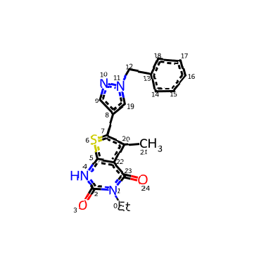 CCn1c(=O)[nH]c2sc(-c3cnn(Cc4ccccc4)c3)c(C)c2c1=O